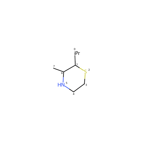 CC(C)C1SCCNC1C